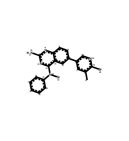 Cc1cc(-c2ccc3nc(N)nc(N(Br)c4ccccc4)c3c2)cnc1Br